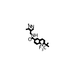 Cc1c(CNC(=O)c2ccc3nc(C(C)(C)C(F)(F)F)ccc3c2)cnn1C